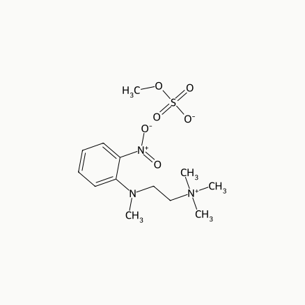 CN(CC[N+](C)(C)C)c1ccccc1[N+](=O)[O-].COS(=O)(=O)[O-]